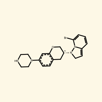 BrC1=CC=CC2=CCN([C@H]3COc4cc(N5CCNCC5)ccc4C3)N12